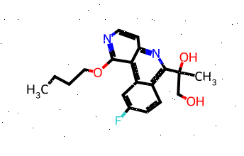 CCCCOc1nccc2nc(C(C)(O)CO)c3ccc(F)cc3c12